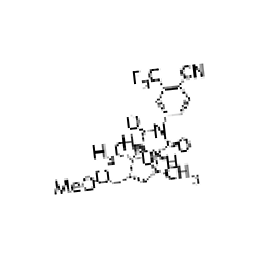 COOCC1=CC2(C)OC1(C)[C@@H]1C(=O)N(c3ccc(C#N)c(C(F)(F)F)c3)C(=O)[C@@H]12